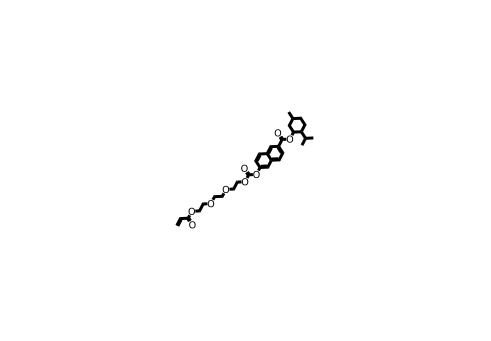 C=CC(=O)OCCOCCOCCOC(=O)Oc1ccc2cc(C(=O)OC3CC(C)CCC3C(C)C)ccc2c1